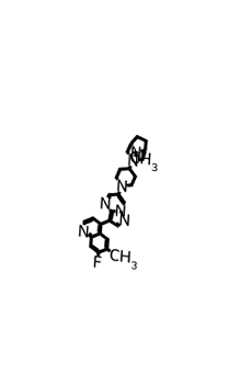 Cc1cc2c(-c3cnn4cc(N5CCC(N6CC7CCC(C6)N7C)CC5)cnc34)ccnc2cc1F